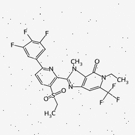 CCn1c(C(F)(F)F)cc2nc(-c3nc(-c4cc(F)c(F)c(F)c4)ccc3S(=O)(=O)CC)n(C)c2c1=O